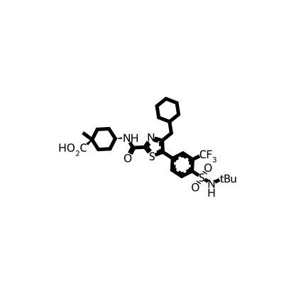 CC(C)(C)NS(=O)(=O)c1ccc(-c2sc(C(=O)N[C@H]3CC[C@](C)(C(=O)O)CC3)nc2CC2CCCCC2)cc1C(F)(F)F